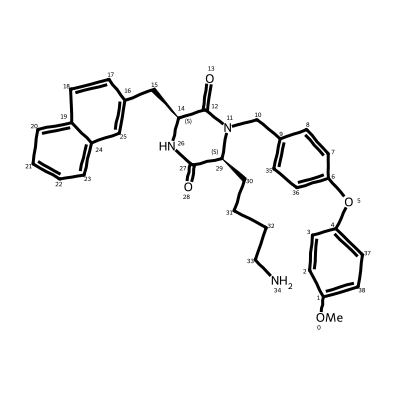 COc1ccc(Oc2ccc(CN3C(=O)[C@H](Cc4ccc5ccccc5c4)NC(=O)[C@@H]3CCCCN)cc2)cc1